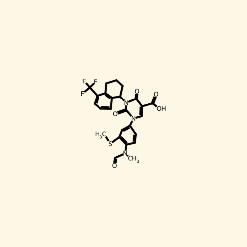 CSc1cc(-n2cc(C(=O)O)c(=O)n(C3CCCc4c3cccc4C(F)(F)F)c2=O)ccc1N(C)C=O